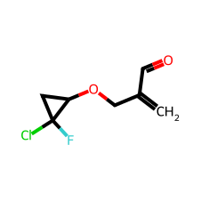 C=C(C=O)COC1CC1(F)Cl